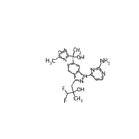 Cc1nc([C@](C)(O)c2ccc3c(CC(C)(O)C(F)F)nn(-c4ccnc(N)n4)c3c2)no1